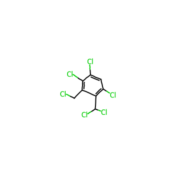 ClCc1c(Cl)c(Cl)cc(Cl)c1C(Cl)Cl